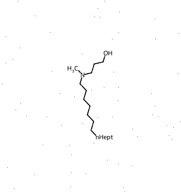 CCCCCCCCCCCCCCN(C)CCCO